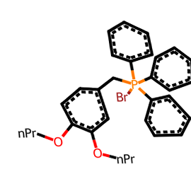 CCCOc1ccc(CP(Br)(c2ccccc2)(c2ccccc2)c2ccccc2)cc1OCCC